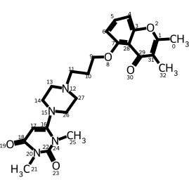 Cc1oc2cccc(OCCCN3CCN(c4cc(=O)n(C)c(=O)n4C)CC3)c2c(=O)c1C